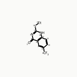 CCSc1nc(=O)c2cc(C(F)(F)F)ccc2[nH]1